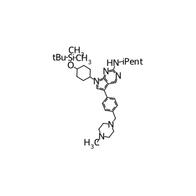 CCCC(C)Nc1ncc2c(-c3ccc(CN4CCN(C)CC4)cc3)cn(C3CCC(O[Si](C)(C)C(C)(C)C)CC3)c2n1